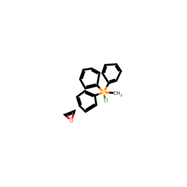 C1=CO1.CP(Cl)(c1ccccc1)(c1ccccc1)c1ccccc1